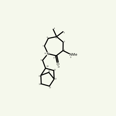 CNC1CC(C)(C)CCN(CC2CC3CCC2C3)C1=O